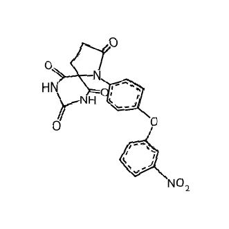 O=C1NC(=O)C2(CCC(=O)N2c2ccc(Oc3cccc([N+](=O)[O-])c3)cc2)C(=O)N1